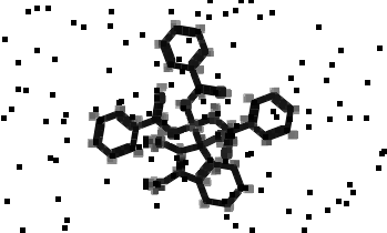 CC1=C(C)[C](C)([Ti]([O]C(=O)c2ccccc2)([O]C(=O)c2ccccc2)[O]C(=O)c2ccccc2)C2=C1CCCC2